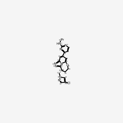 CC(C)Nc1nccc(-c2cc3n4c(nnc4c2)[C@@H](Cn2cc(Cl)cn2)CCO3)n1